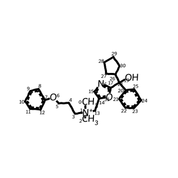 C[N+](C)(CCCOc1ccccc1)Cc1cnc(C(O)(c2ccccc2)C2CCCC2)o1